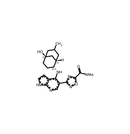 CNC(=O)c1nc(-c2cnc3[nH]ccc3c2N[C@@H]2CC[C@]3(O)CC(C)C[C@H]2C3)no1